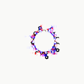 CCCC[C@H]1C(=O)N(C)[C@@H](CCCC)C(=O)N[C@@H](CC(C)C)C(=O)N[C@H](C(=O)NCC(N)=O)CSCC(=O)N[C@@H](Cc2ccc(O)cc2)C(=O)N2CCCC[C@H]2C(=O)N[C@@H](CC(N)=O)C(=O)N2CCC[C@H]2C(=O)N[C@@H](CN)C(=O)N[C@@H](CCC(=O)O)C(=O)N2C[C@H](O)C[C@H]2C(=O)N[C@@H](Cc2c[nH]c3ccccc23)C(=O)N[C@@H](CCN)C(=O)N[C@@H](Cc2cn(CC(=O)O)c3ccccc23)C(=O)N1C